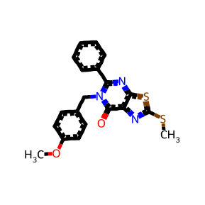 COc1ccc(Cn2c(-c3ccccc3)nc3sc(SC)nc3c2=O)cc1